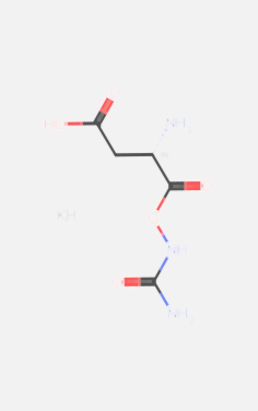 NC(=O)NOC(=O)[C@@H](N)CC(=O)O.[KH]